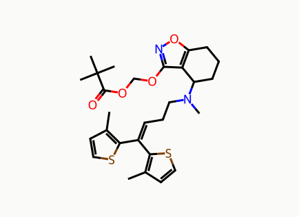 Cc1ccsc1C(=CCCN(C)C1CCCc2onc(OCOC(=O)C(C)(C)C)c21)c1sccc1C